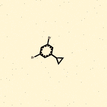 Brc1cc(Br)cc(C2CC2)c1